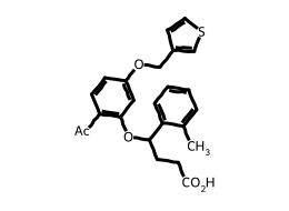 CC(=O)c1ccc(OCc2ccsc2)cc1OC(CCC(=O)O)c1ccccc1C